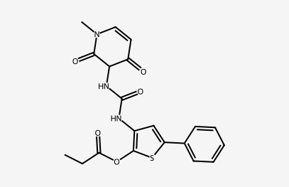 CCC(=O)Oc1sc(-c2ccccc2)cc1NC(=O)NC1C(=O)C=CN(C)C1=O